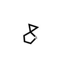 C1CSC2(C1)CC2